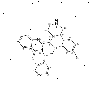 CCC(c1nc2ccccc2c(=O)n1Cc1ccccc1)N1CCNCC1c1ccc(C)cc1